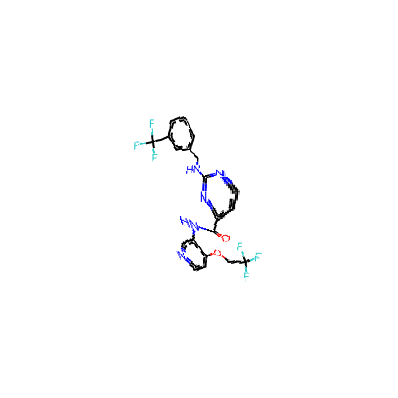 O=C(Nc1cnccc1OCC(F)(F)F)c1ccnc(NCc2cccc(C(F)(F)F)c2)n1